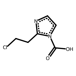 O=C(O)n1ccnc1CCCl